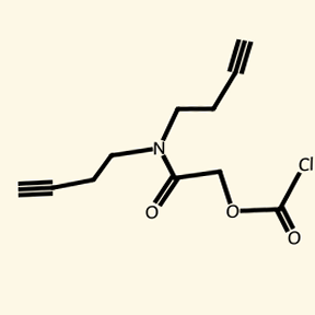 C#CCCN(CCC#C)C(=O)COC(=O)Cl